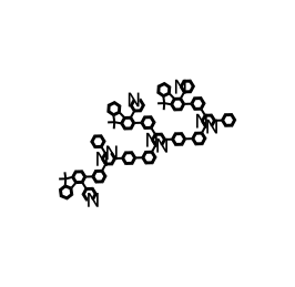 CC1(C)c2ccccc2-c2c1ccc(-c1cccc(-c3cc(-c4ccc(-c5cccc(-c6nc(-c7ccc(-c8cccc(-c9nc(-c%10ccccc%10)cc(-c%10cccc(-c%11ccc%12c(c%11-c%11ccccn%11)-c%11ccccc%11C%12(C)C)c%10)n9)c8)cc7)cc(-c7cccc(-c8ccc9c(c8-c8cccnc8)-c8ccccc8C9(C)C)c7)n6)c5)cc4)nc(-c4ccccc4)n3)c1)c2-c1ccncc1